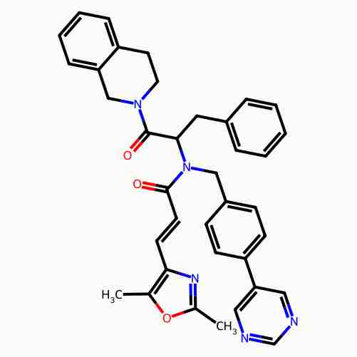 Cc1nc(C=CC(=O)N(Cc2ccc(-c3cncnc3)cc2)C(Cc2ccccc2)C(=O)N2CCc3ccccc3C2)c(C)o1